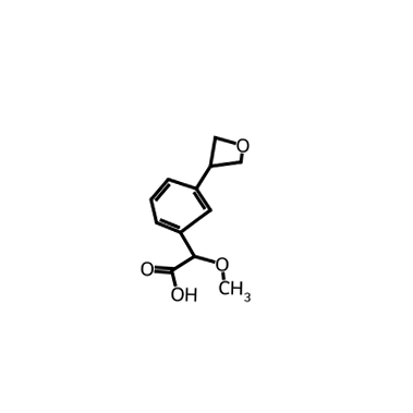 COC(C(=O)O)c1cccc(C2COC2)c1